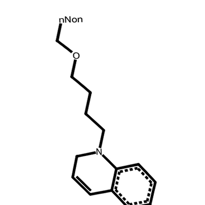 CCCCCCCCCCOCCCCN1CC=Cc2ccccc21